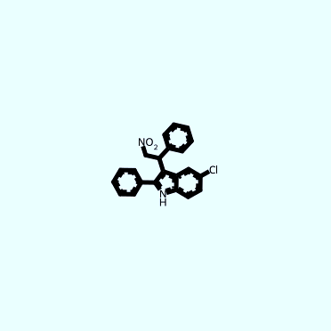 O=[N+]([O-])CC(c1ccccc1)c1c(-c2ccccc2)[nH]c2ccc(Cl)cc12